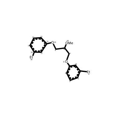 CCc1cccc(OCC(COc2cccc(CC)c2)OC)c1